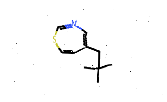 CC(C)(C)CC1=CN=CSC=C1